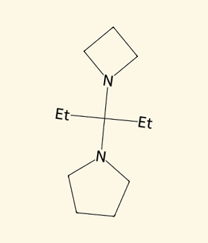 [CH2]CC(CC)(N1CCCC1)N1CCC1